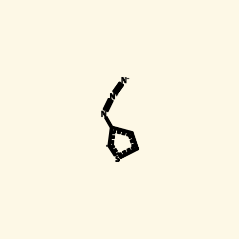 [N-]=[N+]=Nc1[c]scc1